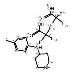 Cc1ccc(NC2CCNCC2)cc1.O=C(O)C(F)(F)F.O=C(O)C(F)(F)F